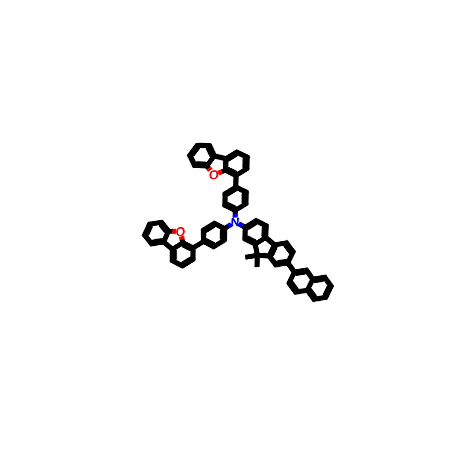 CC1(C)c2cc(-c3ccc4ccccc4c3)ccc2-c2ccc(N(c3ccc(-c4cccc5c4oc4ccccc45)cc3)c3ccc(-c4cccc5c4oc4ccccc45)cc3)cc21